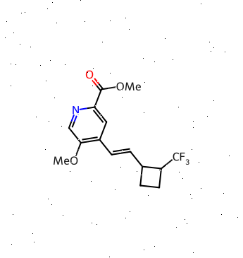 COC(=O)c1cc(/C=C/C2CCC2C(F)(F)F)c(OC)cn1